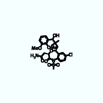 COc1cccc(C(O)C(C)(C)C[C@@H]2O[C@H](CC(N)=O)C(=O)N(S(C)(=O)=O)c3ccc(Cl)cc32)c1OC